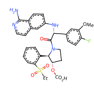 CCS(=O)(=O)c1ccccc1[C@@H]1[C@@H](OC(=O)O)CCN1C(=O)[C@H](Nc1ccc2c(N)nccc2c1)c1ccc(F)c(OC)c1